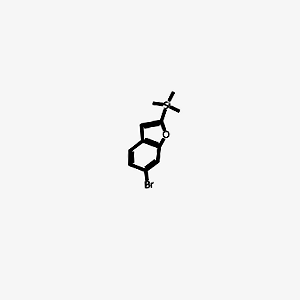 C[Si](C)(C)c1cc2ccc(Br)cc2o1